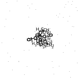 Cc1cc(C(C)(C)C)cc(C)c1N1c2cc(-c3cc4ccccc4s3)ccc2B2c3c1cc(C(C)C)cc3N(c1c(C)cc(-c3cc4ccccc4s3)cc1C)c1oc3ccc(C(C)(C)C)cc3c12